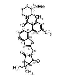 CN[C@H]1CCCN(C(=O)c2c(C)cc(C(F)(F)F)nc2-c2ccnc3cc(CN4C(=O)C5C(C4=O)C5(C)C)sc23)C1